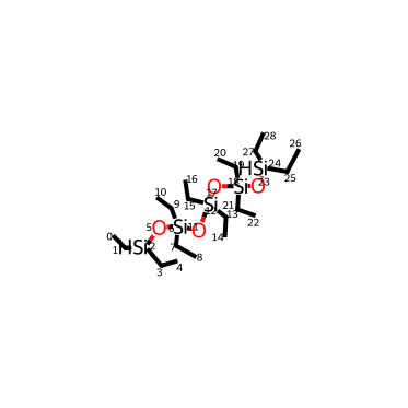 CC[SiH](CC)O[Si](CC)(CC)O[Si](CC)(CC)O[Si](CC)(CC)O[SiH](CC)CC